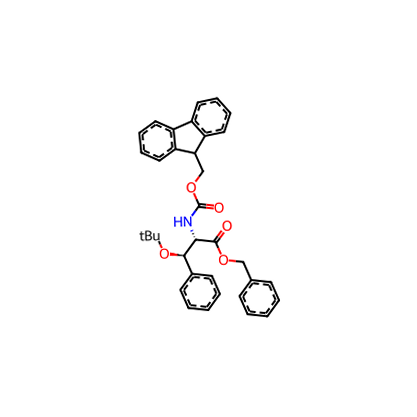 CC(C)(C)O[C@H](c1ccccc1)[C@H](NC(=O)OCC1c2ccccc2-c2ccccc21)C(=O)OCc1ccccc1